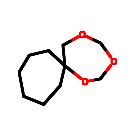 C1CCCC2(CC1)COCOCO2